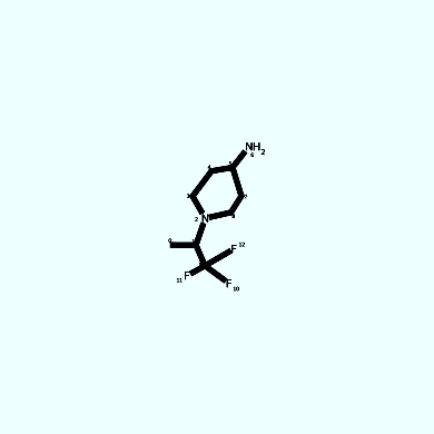 CC(N1CCC(N)CC1)C(F)(F)F